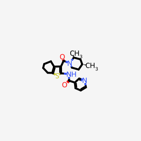 C[C@@H]1CCN(C(=O)c2c(NC(=O)c3cccnc3)sc3c2CCCC3)[C@H](C)C1